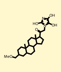 COCC1CCC2(C)C(CCC3C2CCC2(C)C(C(=O)Cn4c(O)nc(O)c4O)CCC32)C1